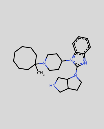 CC1(N2CCC(n3c(N4CCC5CNCC54)nc4ccccc43)CC2)CCCCCCC1